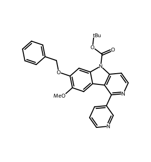 COc1cc2c3c(-c4cccnc4)nccc3n(C(=O)OC(C)(C)C)c2cc1OCc1ccccc1